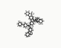 CC1(C)c2ccccc2-c2cc3c4cc(N(c5ccc(-c6ccccc6)cc5)c5ccc6oc7ccccc7c6c5)ccc4n(-c4ncc5ccccc5n4)c3cc21